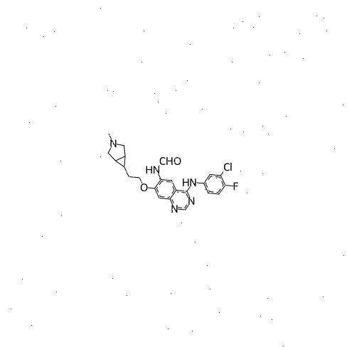 CN1CC2C(CCOc3cc4ncnc(Nc5ccc(F)c(Cl)c5)c4cc3NC=O)C2C1